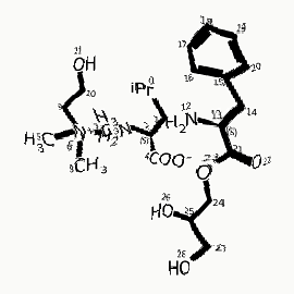 CC(C)C[C@H](N)C(=O)[O-].C[N+](C)(C)CCO.N[C@@H](Cc1ccccc1)C(=O)OCC(O)CO